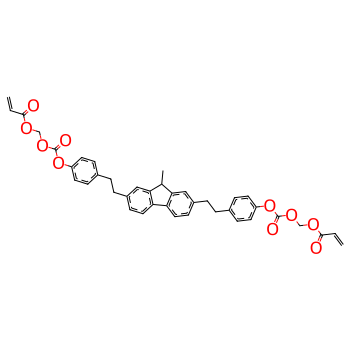 C=CC(=O)OCOC(=O)Oc1ccc(CCc2ccc3c(c2)C(C)c2cc(CCc4ccc(OC(=O)OCOC(=O)C=C)cc4)ccc2-3)cc1